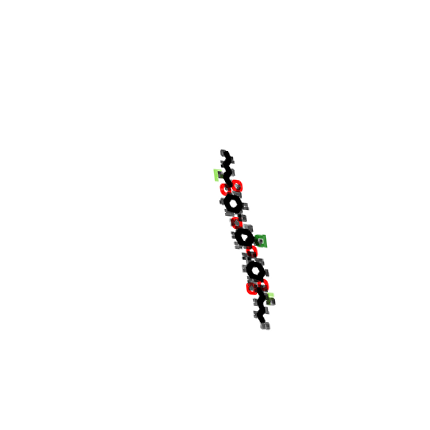 CCCC[C@H](F)C(=O)O[C@H]1CC[C@H](COc2ccc(OC[C@H]3CC[C@H](OC(=O)[C@@H](F)CCCC)CC3)c(Cl)c2)CC1